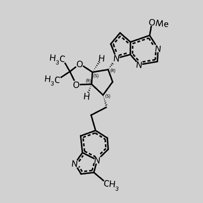 COc1ncnc2c1ccn2[C@@H]1C[C@H](CCc2ccn3c(C)cnc3c2)[C@H]2OC(C)(C)O[C@H]21